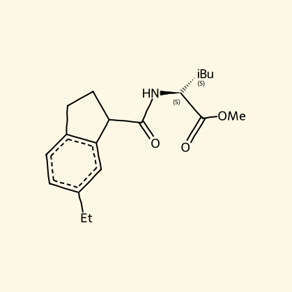 CCc1ccc2c(c1)C(C(=O)N[C@H](C(=O)OC)[C@@H](C)CC)CC2